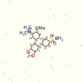 COc1ccc(-c2cc3c(cc2-c2ccc(S(N)(=O)=O)cc2)OCO3)cc1N(C)C